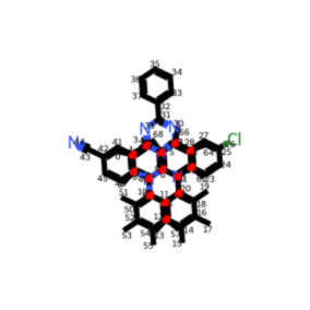 Cc1c(C)c(C)c2c(c1C)Cc1c(C)c(C)c(C)c(C)c1N2c1ccc(Cl)cc1-c1nc(-c2ccccc2)nc(-c2cc(C#N)ccc2N2c3c(C)c(C)c(C)c(C)c3Cc3c(C)c(C)c(C)c(C)c32)n1